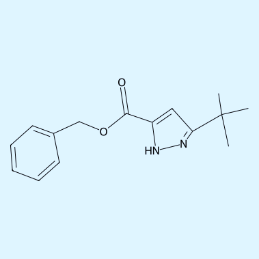 CC(C)(C)c1cc(C(=O)OCc2ccccc2)[nH]n1